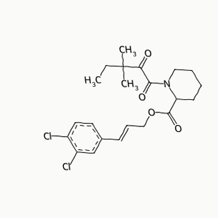 CCC(C)(C)C(=O)C(=O)N1CCCCC1C(=O)OCC=Cc1ccc(Cl)c(Cl)c1